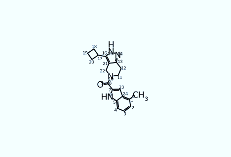 Cc1cccc2[nH]c(C(=O)N3CCc4n[nH]c(C5CCC5)c4C3)cc12